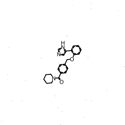 O=C(c1ccc(COc2ccccc2-c2cnc[nH]2)cc1)N1CCCCC1